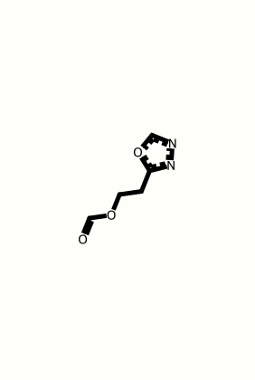 O=COCCc1nnco1